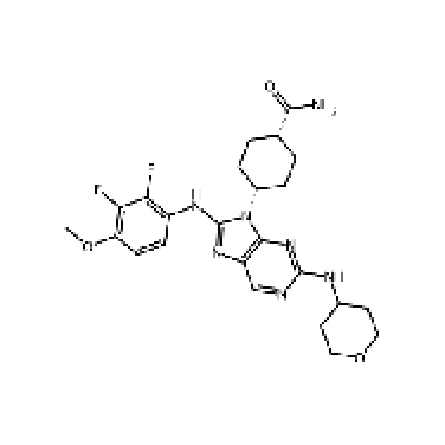 COc1ccc(Nc2nc3cnc(NC4CCOCC4)nc3n2[C@H]2CC[C@@H](C(N)=O)CC2)c(F)c1F